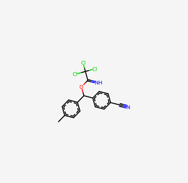 Cc1ccc(C(OC(=N)C(Cl)(Cl)Cl)c2ccc(C#N)cc2)cc1